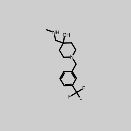 CNCC1(O)CCN(Cc2cccc(C(F)(F)F)c2)CC1